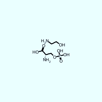 NCCO.N[C@@H](COP(=O)(O)O)C(=O)O